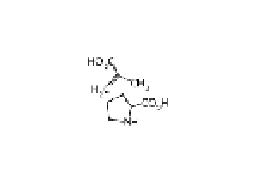 C=C(C)C(=O)O.O=C(O)C1CCCN1